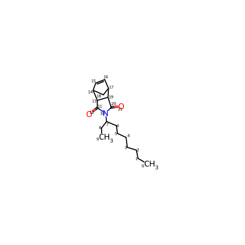 CCCCCCCC(CC)N1C(=O)C2C3C=CC(C3)C2C1=O